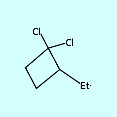 C[CH]C1CCC1(Cl)Cl